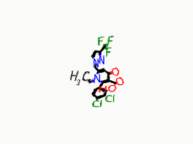 CCn1c(Cn2ccc(C(F)(F)F)n2)cc(=O)c(C(=O)O)c1-c1ccc(Cl)c(Cl)c1